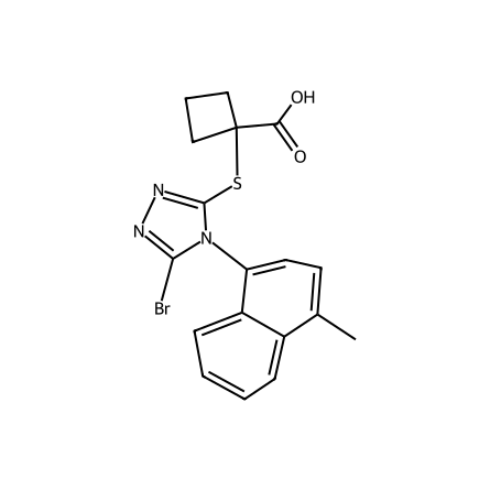 Cc1ccc(-n2c(Br)nnc2SC2(C(=O)O)CCC2)c2ccccc12